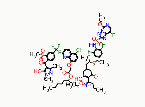 CCC/C(=N/OCC)C1=C(O)CC(CC(C)SCC)CC1=O.CCCCCC(C)OC(=O)COc1ccc(Cl)c2cccnc12.COc1ncc(F)c2nc(S(=O)(=O)Nc3c(F)cccc3F)nn12.Cc1nn(C)c(O)c1C(=O)c1ccc(C(F)(F)F)cc1S(C)(=O)=O